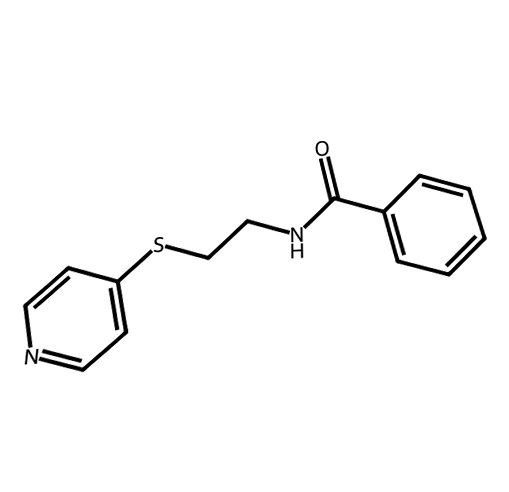 O=C(NCCSc1ccncc1)c1ccccc1